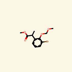 COCOc1c(Br)cccc1C(C)C(=O)OC